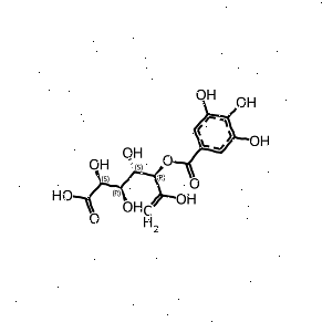 C=C(O)[C@H](OC(=O)c1cc(O)c(O)c(O)c1)[C@@H](O)[C@@H](O)[C@H](O)C(=O)O